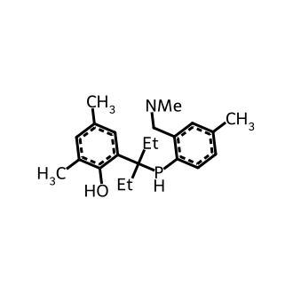 CCC(CC)(Pc1ccc(C)cc1CNC)c1cc(C)cc(C)c1O